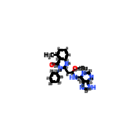 Cc1cccc2nc(CC(Nc3ncnc4[nH]cnc34)OC(C)(C)C)n(-c3ccccc3)c(=O)c12